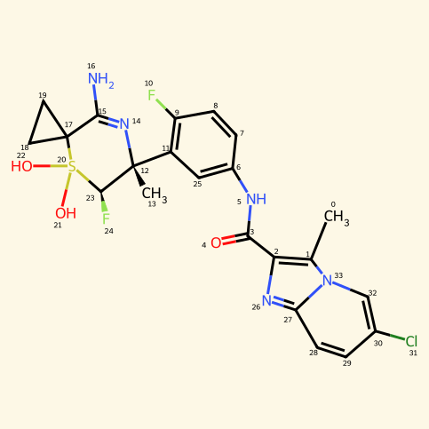 Cc1c(C(=O)Nc2ccc(F)c([C@@]3(C)N=C(N)C4(CC4)S(O)(O)[C@@H]3F)c2)nc2ccc(Cl)cn12